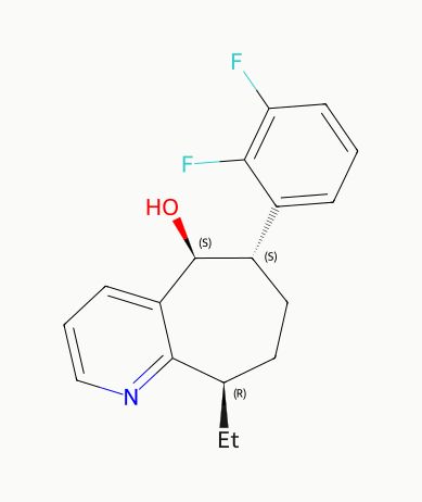 CC[C@@H]1CC[C@@H](c2cccc(F)c2F)[C@H](O)c2cccnc21